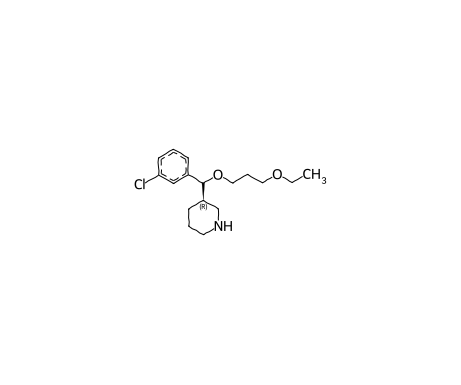 CCOCCCOC(c1cccc(Cl)c1)[C@@H]1CCCNC1